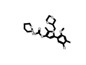 COc1cc(C)c(Cl)cc1-c1cc(OC(=O)NN2CCCCC2)c(C)n1CC1COCCO1